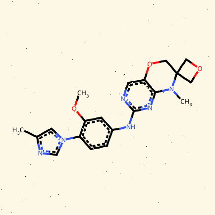 COc1cc(Nc2ncc3c(n2)N(C)C2(COC2)CO3)ccc1-n1cnc(C)c1